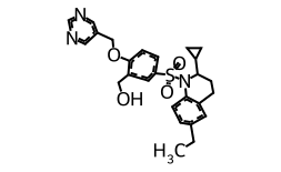 CCc1ccc2c(c1)CCC(C1CC1)N2S(=O)(=O)c1ccc(OCc2cncnc2)c(CO)c1